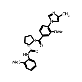 COc1cc(C(=O)N2CCC[C@H]2C(=O)Nc2ccccc2SC)ccc1-n1cnc(C)c1